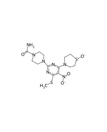 CSc1nc(N2CCN(C(N)=O)CC2)nc(N2CC[S+]([O-])CC2)c1[N+](=O)[O-]